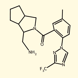 Cc1ccc(-n2cnc(C(F)(F)F)n2)c(C(=O)N2CC3CCCC3C2CN)c1